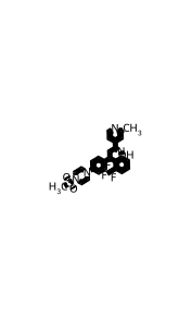 Cc1cc(C(CC(c2ccc(N3CCN(S(C)(=O)=O)CC3)cc2)c2ccccc2C(F)(F)F)=NO)ccn1